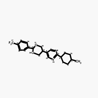 CC1CCC(c2ncc(C3COC(c4ccc(C(F)(F)F)cc4)OC3)cn2)CC1